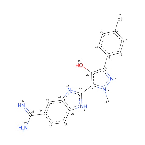 CCc1ccc(-c2nn(C)c(-c3nc4cc(C(=N)N)ccc4[nH]3)c2O)cc1